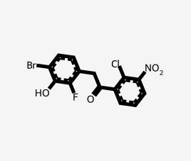 O=C(Cc1ccc(Br)c(O)c1F)c1cccc([N+](=O)[O-])c1Cl